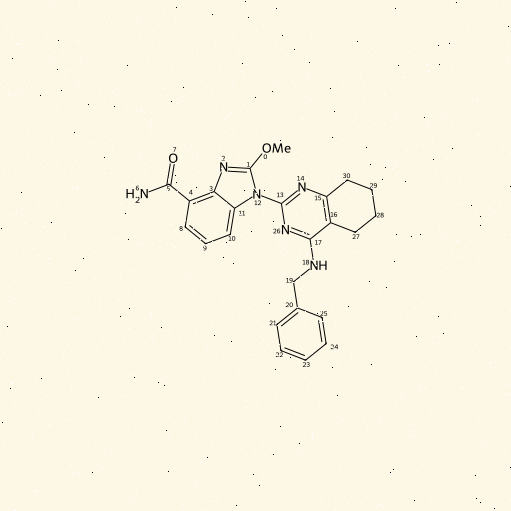 COc1nc2c(C(N)=O)cccc2n1-c1nc2c(c(NCc3ccccc3)n1)CCCC2